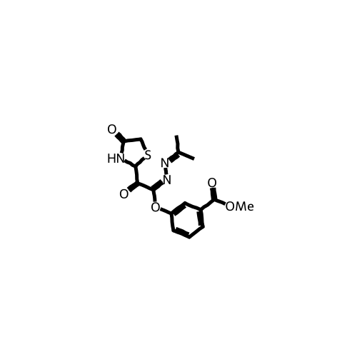 COC(=O)c1cccc(OC(=NN=C(C)C)C(=O)C2NC(=O)CS2)c1